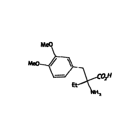 CCC(N)(Cc1ccc(OC)c(OC)c1)C(=O)O